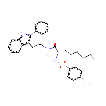 CC(=O)CCCCC[C@H](NS(=O)(=O)c1ccc(C#N)cc1)C(=O)NCCc1c(-c2ccccc2)[nH]c2ccccc12